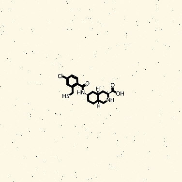 O=C(N[C@H]1CC[C@H]2CN[C@H](C(=O)O)C[C@H]2C1)c1ccc(Cl)cc1CS